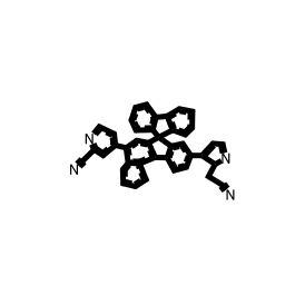 N#CCC1N=CC=C1c1ccc2c(c1)C1(c3ccccc3-c3ccccc31)c1cc(-c3ccnc(C#N)c3)c3ccccc3c1-2